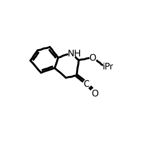 CC(C)OC1Nc2ccccc2CC1=C=O